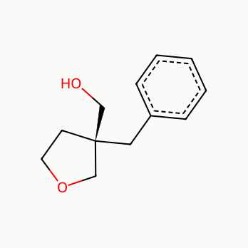 OC[C@]1(Cc2ccccc2)CCOC1